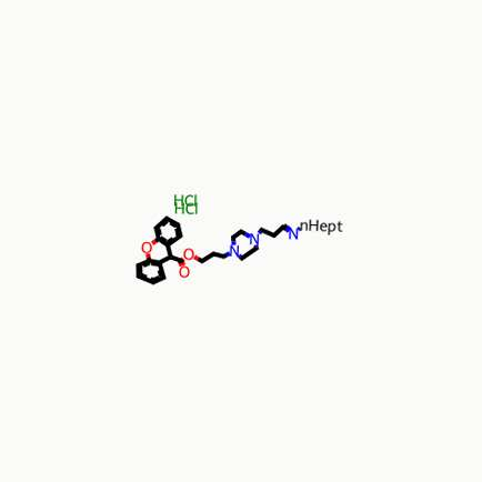 CCCCCCCN=CCCN1CCN(CCCOC(=O)C2c3ccccc3Oc3ccccc32)CC1.Cl.Cl